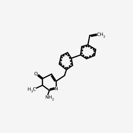 C=Cc1cccc(-c2cccc(CC3=CC(=O)C(C)C(N)=N3)c2)c1